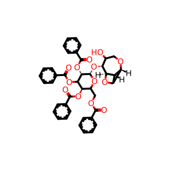 O=C(OCC1O[C@@H](O[C@@H]2C(O)CO[C@@H]3C4O[C@@H]2[C@@H]43)[C@@H](OC(=O)c2ccccc2)C(OC(=O)c2ccccc2)[C@@H]1OC(=O)c1ccccc1)c1ccccc1